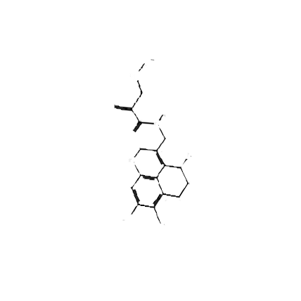 C=C(COC=O)C(=O)N(CC)CC1=C2c3c(cc(F)c(C)c3CC[C@@H]2N)NC1